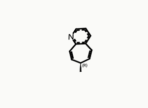 C[C@@H]1C=Cc2cccnc2C=C1